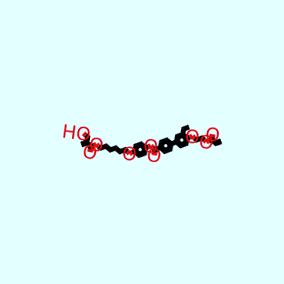 C=CC(=O)OCCOc1ccc(-c2ccc(C(=O)Oc3ccc(OCCCCCCOC(=O)C(=C)CO)cc3)cc2)cc1CC